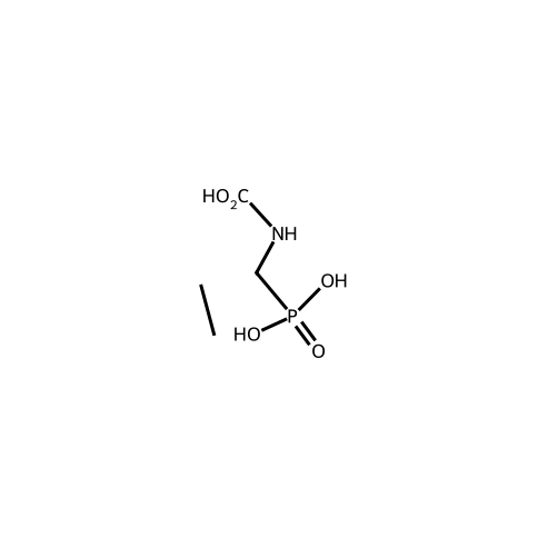 CC.O=C(O)NCP(=O)(O)O